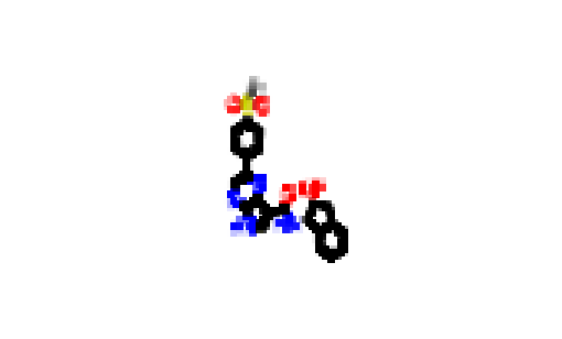 CC(C)S(=O)(=O)c1ccc(-c2cnc3[nH]cc(C(=O)N[C@H]4c5ccccc5C[C@H]4O)c3n2)cc1